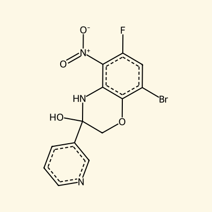 O=[N+]([O-])c1c(F)cc(Br)c2c1NC(O)(c1cccnc1)CO2